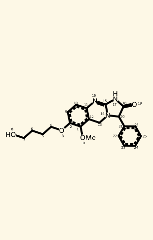 COc1c(OCCCCO)ccc2c1CN1C(=N2)NC(=O)C1c1ccccc1